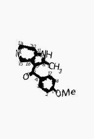 COc1ccc(C(=O)c2c(C)[nH]c3ccncc23)cc1